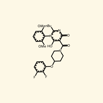 CCCCc1nc(=O)c(C(=O)N2CCC(Oc3cccc(F)c3F)CC2)c(O)n1-c1c(OC)cccc1OC